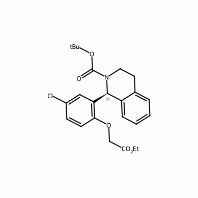 CCOC(=O)COc1ccc(Cl)cc1[C@@H]1c2ccccc2CCN1C(=O)OC(C)(C)C